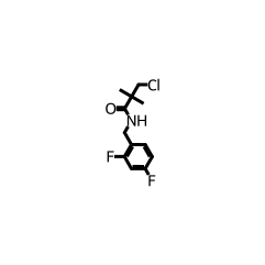 CC(C)(CCl)C(=O)NCc1ccc(F)cc1F